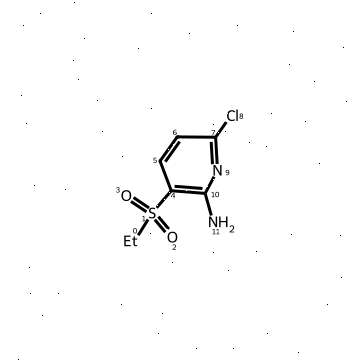 CCS(=O)(=O)c1ccc(Cl)nc1N